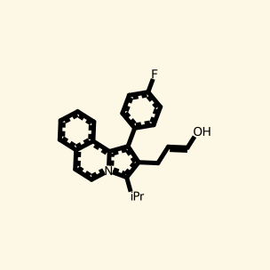 CC(C)c1c(CC=CO)c(-c2ccc(F)cc2)c2c3ccccc3ccn12